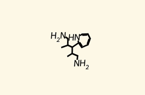 CC(CN)C(C1=CC=CC=CN1)C(C)CN